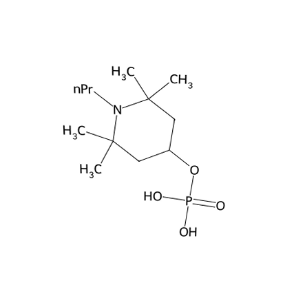 CCCN1C(C)(C)CC(OP(=O)(O)O)CC1(C)C